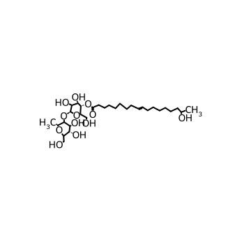 CC(O)CCCCCC/C=C/CCCCCCCC(=O)O[C@@H]1C(CO)O[C@@H](OC2[C@H](C)OC(CO)[C@@H](O)[C@@H]2O)C(O)[C@H]1O